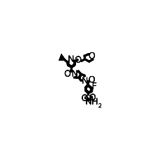 NS(=O)(=O)c1ccc(C(=O)N2CC3=C(CN(C(=O)c4cc(OCC5CCOCC5)nc(C5CC5)c4)C3)C2)c(F)c1